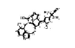 Cn1nc(C(C)(C)C#N)cc1-c1cc2c(n3cnnc13)N(C(=O)O)Cc1c(F)ccc3c1[C@@H](CO3)CO2